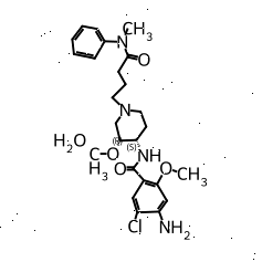 COc1cc(N)c(Cl)cc1C(=O)N[C@H]1CCN(CCCC(=O)N(C)c2ccccc2)C[C@H]1OC.O